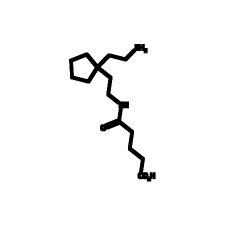 NCCC1(CCNC(=O)CCCC(=O)O)CCCC1